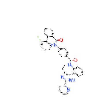 O=C(Nc1ccc(C(=O)N2CCc3nc(-c4ccccn4)[nH]c3-c3ccccc32)cc1)c1ccccc1-c1ccccc1F